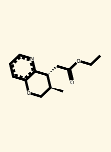 CCOC(=O)C[C@H]1c2ncccc2OC[C@@H]1C